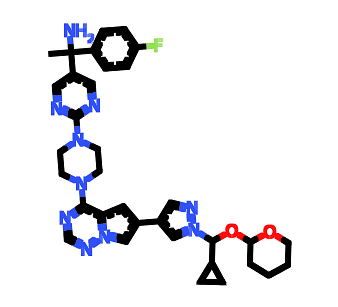 CC(N)(c1ccc(F)cc1)c1cnc(N2CCN(c3ncnn4cc(-c5cnn(C(OC6CCCCO6)C6CC6)c5)cc34)CC2)nc1